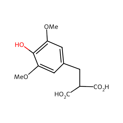 COc1cc(CC(C(=O)O)C(=O)O)cc(OC)c1O